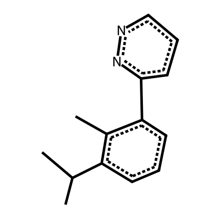 Cc1c(-c2cccnn2)cccc1C(C)C